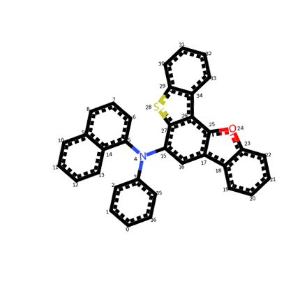 c1ccc(N(c2cccc3ccccc23)c2cc3c4ccccc4oc3c3c2sc2ccccc23)cc1